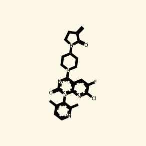 C=C1CCN(C2CCN(c3nc(=O)n(-c4c(C)ccnc4C)c4nc(Cl)c(F)cc34)CC2)C1=O